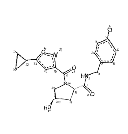 O=C(NCc1ccc(Cl)cc1)[C@@H]1C[C@@H](O)CN1C(=O)c1cc(C2CC2)on1